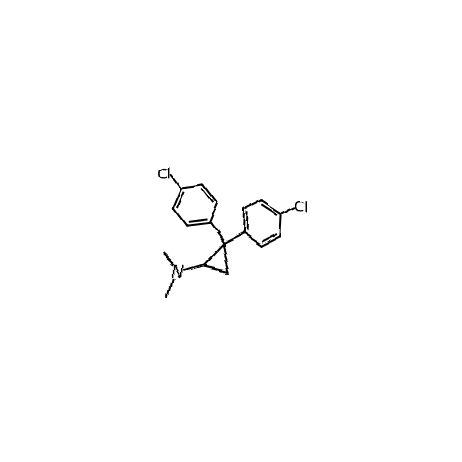 CN(C)C1CC1(c1ccc(Cl)cc1)c1ccc(Cl)cc1